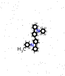 Cc1cccc(-n2c3ccccc3c3ccc(-c4ccc5c6ccccc6n(-c6ccccc6)c5c4)cc32)c1